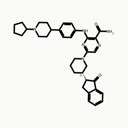 NC(=O)c1ncc(N2CCC[C@@H](C3Cc4ccccc4C3=O)C2)nc1Nc1ccc(C2CCN(C3CCCC3)CC2)cc1